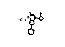 Cc1nc(C2CCN2)c2nc(-c3ccccc3)cc-2[nH]1.Cl.O